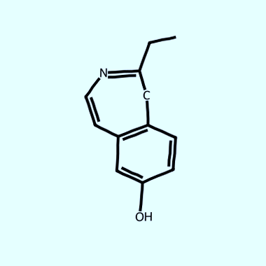 CCC1=NC=Cc2cc(O)ccc2C1